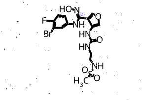 CS(=O)(=O)NCCNC(=O)Nc1cocc1/C(=N/O)Nc1ccc(F)c(Br)c1